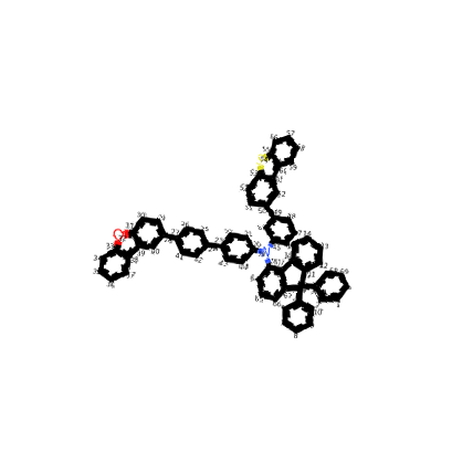 c1ccc(C2(c3ccccc3)c3ccccc3-c3c(N(c4ccc(-c5ccc(-c6ccc7oc8ccccc8c7c6)cc5)cc4)c4cccc(-c5ccc6sc7ccccc7c6c5)c4)cccc32)cc1